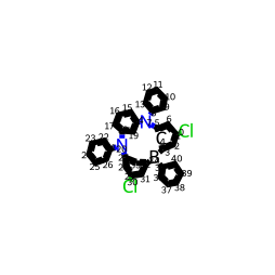 Clc1cc2cc(c1)N(c1ccccc1)c1cccc(c1)N(c1ccccc1)c1cc(Cl)cc(c1)B2c1ccccc1